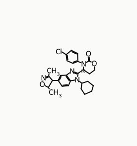 CC1=NOC(C)C1c1ccc2c(c1)nc([C@@H]1CCOC(=O)N1c1ccc(Cl)cc1)n2C1CCCCC1